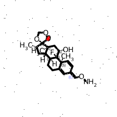 C[C@H]1C[C@H]2[C@@H]3CCC4=C/C(=C/ON)C=C[C@]4(C)[C@@]3(F)[C@@H](O)C[C@]2(C)[C@]12OCOC21COCO1